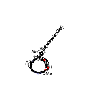 CCOCCOCCOCCOCCOCCOCCOCCNC(=S)O[C@@H]1CC[C@@H](C[C@@H](N)[C@@H]2C[C@@H](O)[C@H](C)/C=C(\C)C(O)[C@@H](O)C(=O)C(C)CC(C)/C=C/C=C/C=C(\C)[C@@H](OC)C[C@@H]3CC[C@@H](C)[C@@](O)(O3)C(=O)C(=O)N3CCCC[C@H]3C(=O)O2)C[C@H]1OC